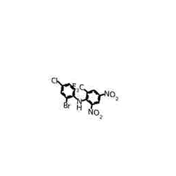 O=[N+]([O-])c1cc([N+](=O)[O-])c(Nc2ccc(Cl)cc2Br)c(C(F)(F)F)c1